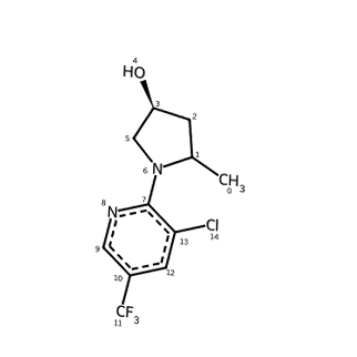 CC1C[C@H](O)CN1c1ncc(C(F)(F)F)cc1Cl